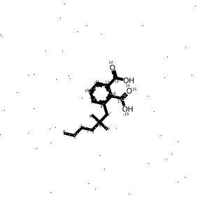 CCCCC(C)(C)Cc1cccc(C(=O)O)c1C(=O)O